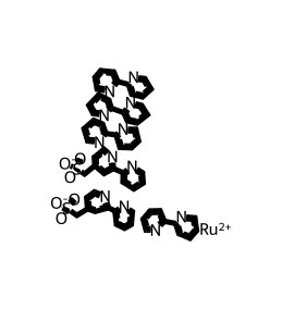 O=S(=O)([O-])Cc1ccnc(-c2ccccn2)c1.O=S(=O)([O-])Cc1ccnc(-c2ccccn2)c1.[Ru+2].c1ccc(-c2ccccn2)nc1.c1ccc(-c2ccccn2)nc1.c1ccc(-c2ccccn2)nc1.c1ccc(-c2ccccn2)nc1